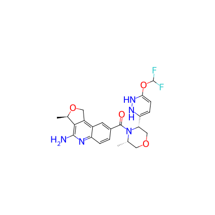 C[C@H]1OCc2c1c(N)nc1ccc(C(=O)N3[C@@H](C)COC[C@H]3C3=CC=C(OC(F)F)NN3)cc21